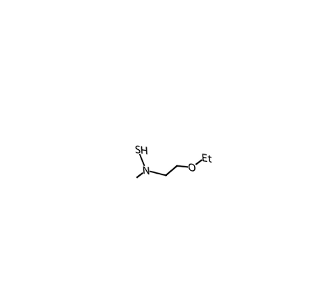 CCOCCN(C)S